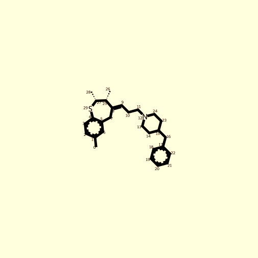 Cc1ccc2c(c1)C/C(=C\CCN1CCC(Cc3ccccc3)CC1)[C@@H](C)[C@@H](C)S2